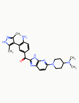 Cc1n[nH]c(C)c1-c1cc(C(=O)c2nc3ccc(N4CCC(N(C)C)CC4)nc3[nH]2)ccc1N